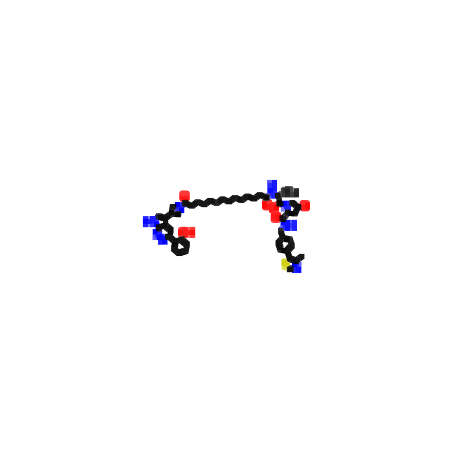 Cc1ncsc1-c1ccc(CNC(=O)[C@@H]2CC(=O)CN2C(=O)[C@@H](NC(=O)CCCCCCCCCCCCC(=O)N2CC(c3c[nH]c4nnc(-c5ccccc5O)cc34)C2)C(C)(C)C)cc1